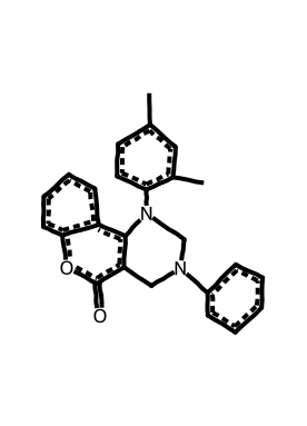 Cc1ccc(N2CN(c3ccccc3)Cc3c2c2ccccc2oc3=O)c(C)c1